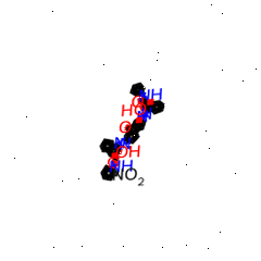 O=C1c2cc(N=Nc3c(O)c(CONc4ccccc4[N+](=O)[O-])cc4ccccc34)ccc2-c2ccc(N=Nc3c(O)c(C(=O)Nc4ccccc4)cc4ccccc34)cc21